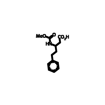 COC(=O)NC(CCc1ccccc1)CC(=O)O